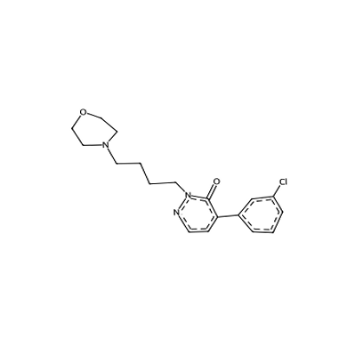 O=c1c(-c2cccc(Cl)c2)ccnn1CCCCN1CCOCC1